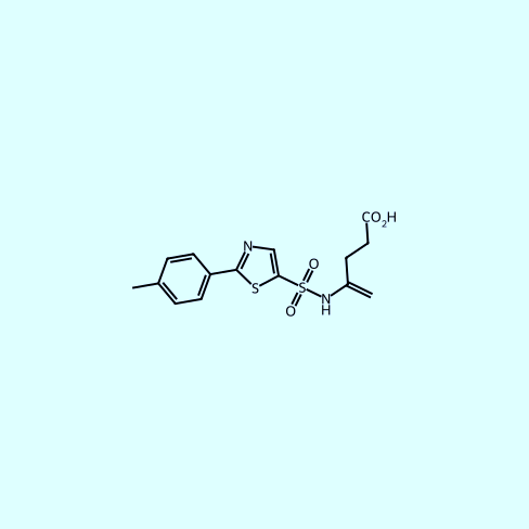 C=C(CCC(=O)O)NS(=O)(=O)c1cnc(-c2ccc(C)cc2)s1